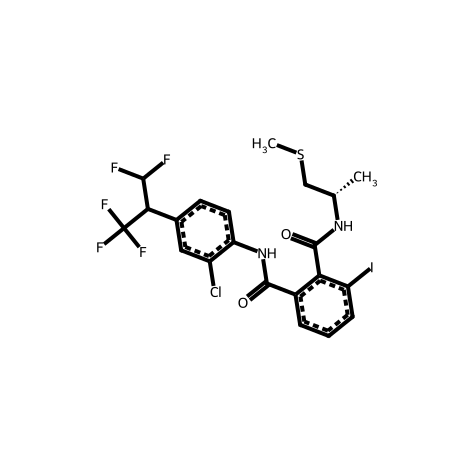 CSC[C@H](C)NC(=O)c1c(I)cccc1C(=O)Nc1ccc(C(C(F)F)C(F)(F)F)cc1Cl